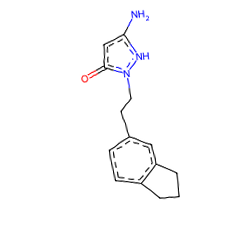 Nc1cc(=O)n(CCc2ccc3c(c2)CCC3)[nH]1